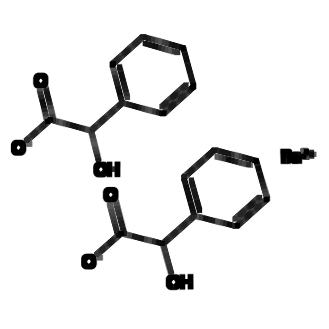 O=C([O-])C(O)c1ccccc1.O=C([O-])C(O)c1ccccc1.[Ba+2]